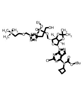 CCOP(=O)(OCC)C(CO)(Cc1nnn(COCC[Si](C)(C)C)n1)OC[C@H]1O[C@@H](n2ncc3c(N(C(=O)OC(C)(C)C)C4CCC4)nc(Cl)nc32)[C@@H]2OC(C)(C)O[C@@H]21